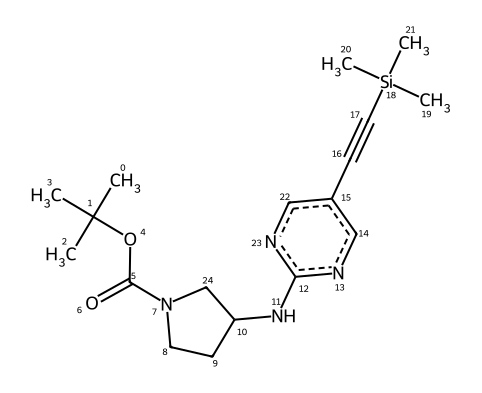 CC(C)(C)OC(=O)N1CCC(Nc2ncc(C#C[Si](C)(C)C)cn2)C1